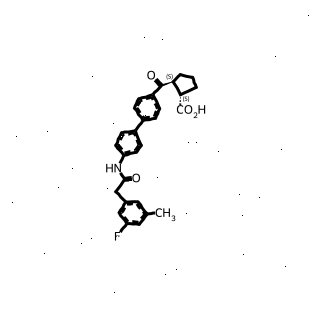 Cc1cc(F)cc(CC(=O)Nc2ccc(-c3ccc(C(=O)[C@H]4CCC[C@@H]4C(=O)O)cc3)cc2)c1